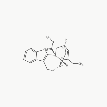 CCC1=C[C@H]2C[N@]3CCc4c([nH]c5ccccc45)[C@](C(=O)OC)(C2)[C@H]13